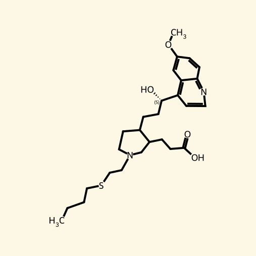 CCCCSCCN1CCC(CC[C@H](O)c2ccnc3ccc(OC)cc23)C(CCC(=O)O)C1